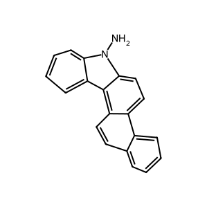 Nn1c2ccccc2c2c3ccc4ccccc4c3ccc21